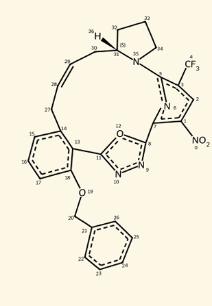 O=[N+]([O-])c1cc(C(F)(F)F)c2nc1-c1nnc(o1)-c1c(cccc1OCc1ccccc1)CC=CC[C@@H]1CCCN21